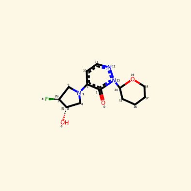 O=c1c(N2C[C@H](O)[C@@H](F)C2)ccnn1C1CCCCO1